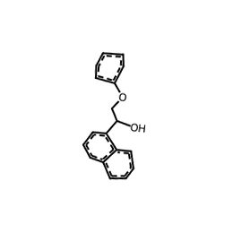 OC(COc1ccccc1)c1cccc2ccccc12